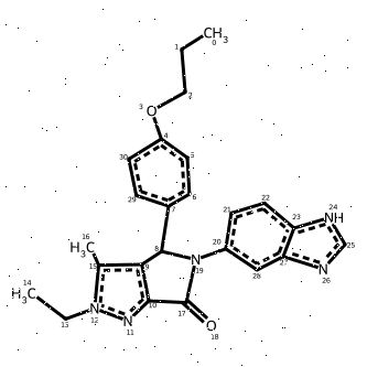 CCCOc1ccc(C2c3c(nn(CC)c3C)C(=O)N2c2ccc3[nH]cnc3c2)cc1